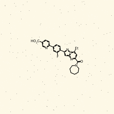 CCc1cc(C(=O)N2CCCCCC2)nc2cc(-c3ccc(-c4ccc(C(=O)O)cn4)cc3F)nn12